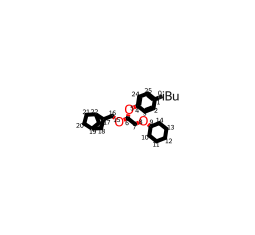 CCC(C)c1ccc(OC(COC2CCCCC2)OCC2CC3CCC2C3)cc1